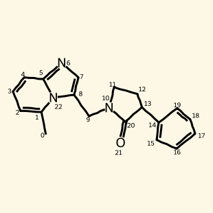 Cc1cccc2ncc(CN3CCC(c4ccccc4)C3=O)n12